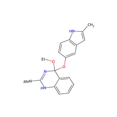 CCOC1(Oc2ccc3[nH]c(C)cc3c2)N=C(NC)Nc2ccccc21